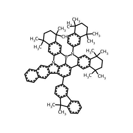 CC1(C)CCC(C)(C)c2cc(N3B4c5cc6c(cc5-n5c7cc8ccccc8cc7c7c(-c8ccc9c(c8)-c8ccccc8C9(C)C)cc(c4c75)-c4cc5c(cc43)C(C)(C)CCC5(C)C)C(C)(C)CCC6(C)C)ccc21